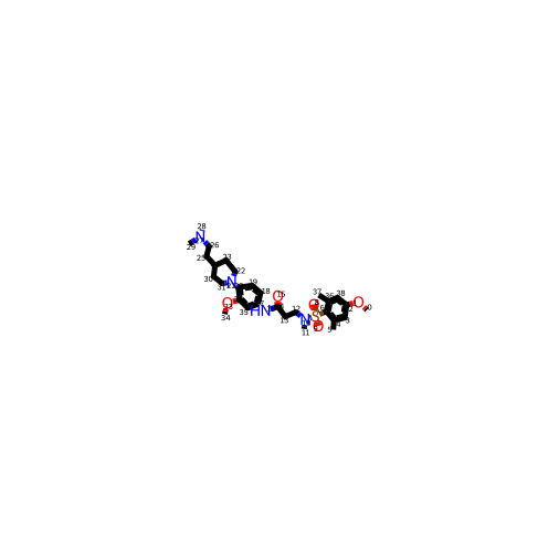 COc1cc(C)c(S(=O)(=O)N(C)CCC(=O)Nc2ccc(N3CCC(CCN(C)C)CC3)c(OC)c2)c(C)c1